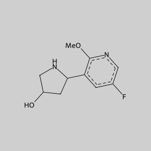 COc1ncc(F)cc1C1CC(O)CN1